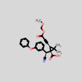 COCOC(=O)C#C[C@H]1C(C)(C)[C@]1(C(=O)O)[C@@H](C#N)c1cccc(Oc2ccccc2)c1